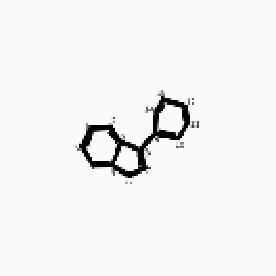 [c]1ccc2c(c1)CC=C2c1ccccc1